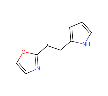 [CH](Cc1ccc[nH]1)c1ncco1